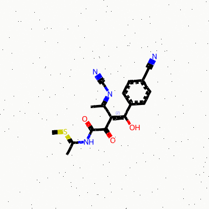 C=S=C(C)NC(=O)C(=O)/C(C(C)=NC#N)=C(\O)c1ccc(C#N)cc1